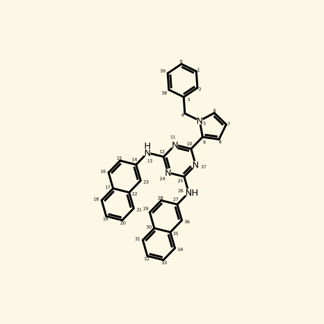 c1ccc(Cn2cccc2-c2nc(Nc3ccc4ccccc4c3)nc(Nc3ccc4ccccc4c3)n2)cc1